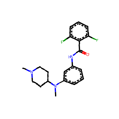 CN1CCC(N(C)c2cccc(NC(=O)c3c(F)cccc3F)c2)CC1